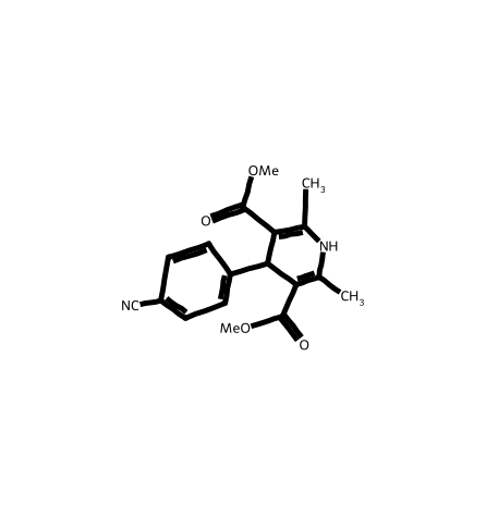 COC(=O)C1=C(C)NC(C)=C(C(=O)OC)C1c1ccc(C#N)cc1